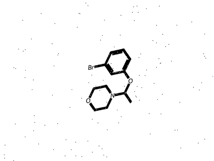 CC(Oc1cccc(Br)c1)N1CCOCC1